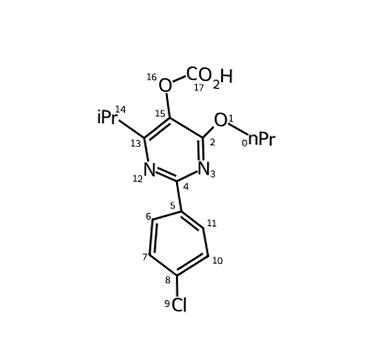 CCCOc1nc(-c2ccc(Cl)cc2)nc(C(C)C)c1OC(=O)O